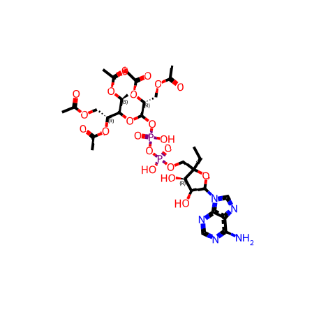 CCC1(COP(=O)(O)OP(=O)(O)OC(OC([C@H](C)OC(C)=O)[C@@H](COC(C)=O)OC(C)=O)[C@@H](COC(C)=O)OC(C)=O)OC(n2cnc3c(N)ncnc32)C(O)[C@H]1O